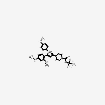 COc1ccc(-n2nc(C3CCN(C(=O)OC(C)(C)C)CC3)cc2-c2ccc(OC)cc2OC)cc1